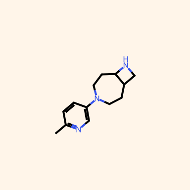 Cc1ccc(N2CCC3CNC3CC2)cn1